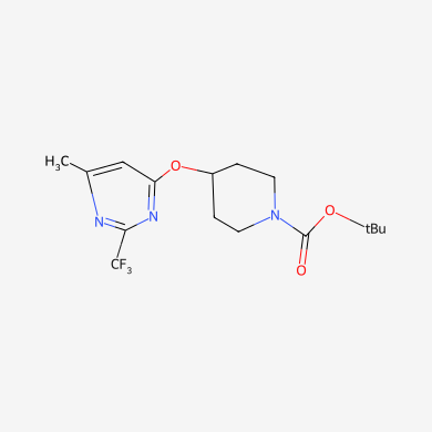 Cc1cc(OC2CCN(C(=O)OC(C)(C)C)CC2)nc(C(F)(F)F)n1